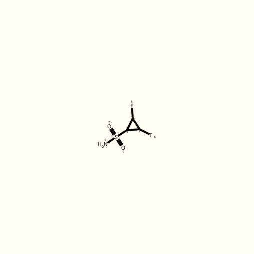 NS(=O)(=O)C1C(F)C1F